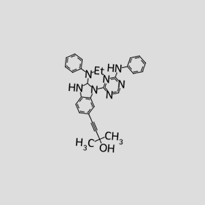 CCN(c1ccccc1)C1Nc2ccc(C#CC(C)(C)O)cc2N1c1ncnc(Nc2ccccc2)n1